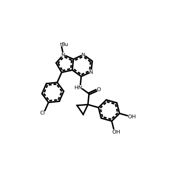 CC(C)(C)n1cc(-c2ccc(Cl)cc2)c2c(NC(=O)C3(c4ccc(O)c(O)c4)CC3)ncnc21